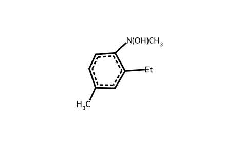 CCc1cc(C)ccc1N(C)O